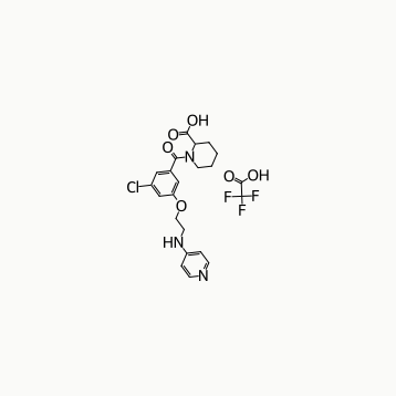 O=C(O)C(F)(F)F.O=C(O)C1CCCCN1C(=O)c1cc(Cl)cc(OCCNc2ccncc2)c1